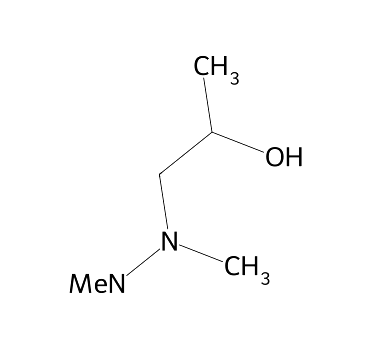 CNN(C)CC(C)O